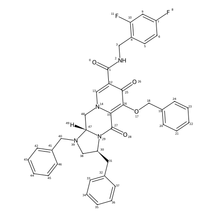 O=C(NCc1ccc(F)cc1F)c1cn2c(c(OCc3ccccc3)c1=O)C(=O)N1[C@@H](Cc3ccccc3)CN(Cc3ccccc3)[C@@H]1C2